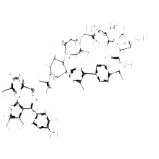 Cc1ncsc1-c1ccc(C(C)NC(=O)[C@@H]2C[C@@H](O)CN2C(=O)[C@@H](NC(=O)CN2C[C@@H](C)N(C3CCN(C(=O)C[C@@H]4N=C(c5ccc(Cl)cc5)c5c(sc(C)c5C)-n5c(C)nnc54)CC3)C[C@@H]2C)C(C)(C)C)cc1